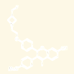 COc1ccc(C2=C(C)c3ccc(O)cc3OC2c2ccc(OCCN3CC(CF)C3)cc2)cc1